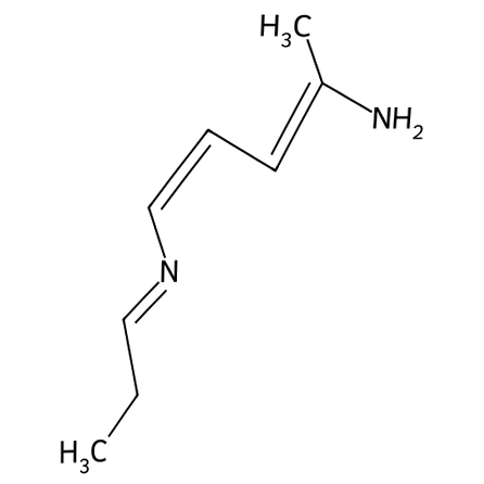 CC/C=N/C=C\C=C(/C)N